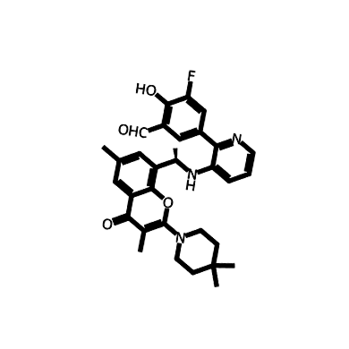 Cc1cc([C@@H](C)Nc2cccnc2-c2cc(F)c(O)c(C=O)c2)c2oc(N3CCC(C)(C)CC3)c(C)c(=O)c2c1